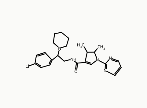 CC1C(C(=O)NCC(c2ccc(Cl)cc2)N2CCCCC2)=CN(c2ncccn2)C1C